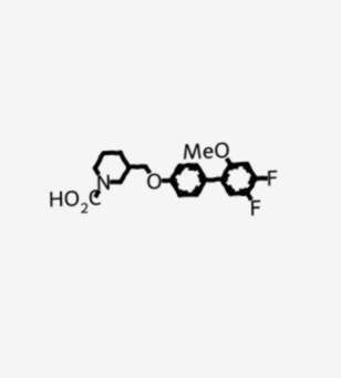 COc1cc(F)c(F)cc1-c1ccc(OCC2CCCN(C(=O)O)C2)cc1